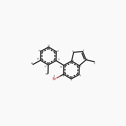 CC1=CCc2c1ccc(Br)c2-c1cccc(C)c1C